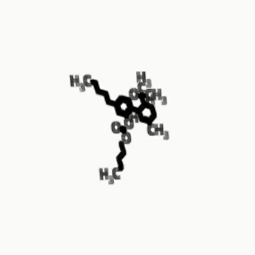 CCCCCOC(=O)Oc1cc(CCCCC)cc2c1[C@@H]1C=C(C)CC[C@H]1C(C)(C)O2